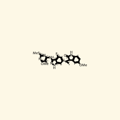 COc1ccc2c(c1)[C@]1(C[C@H]1c1cc(F)c3c(Nc4nc(SC)ncc4OC)n[nH]c3c1)C(=O)N2